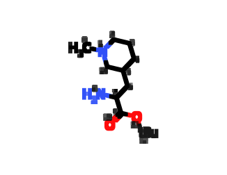 CN1CCCC(CC(N)C(=O)OC(C)(C)C)C1